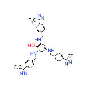 Oc1c(NCc2ccc(C3(C(F)(F)F)N=N3)cc2)cc(NCc2ccc(C3(C(F)(F)F)N=N3)cc2)cc1NCc1ccc(C2(C(F)(F)F)N=N2)cc1